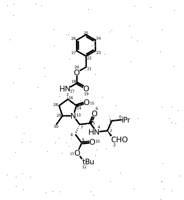 CC(C)C[C@@H](C=O)NC(=O)[C@H](CC(=O)OC(C)(C)C)N1C(=O)[C@@H](NC(=O)OCc2ccccc2)CC1C